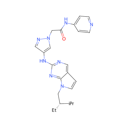 CC[C@H](Cn1ccc2cnc(Nc3cnn(CC(=O)Nc4ccncc4)c3)nc21)C(C)C